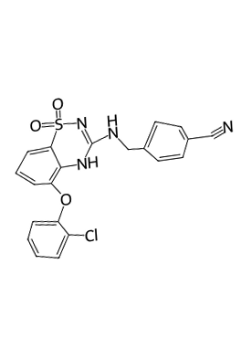 N#Cc1ccc(CNC2=NS(=O)(=O)c3cccc(Oc4ccccc4Cl)c3N2)cc1